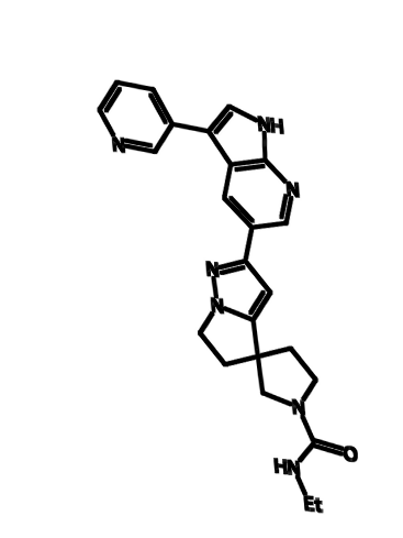 CCNC(=O)N1CCC2(CCn3nc(-c4cnc5[nH]cc(-c6cccnc6)c5c4)cc32)C1